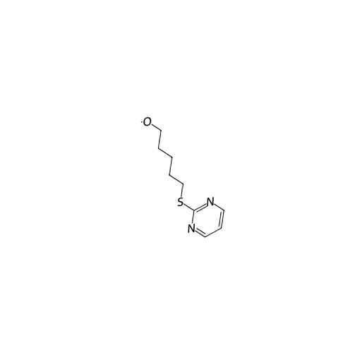 [O]CCCCCSc1ncccn1